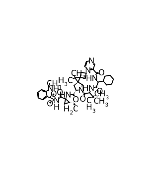 C=C[C@@H]1C[C@]1(NC(=O)[C@@H]1C[C@@]2(CN1C(=O)[C@@H](NC(=O)[C@@H](NC(=O)c1cnccn1)C1CCCCC1)C(C)(C)C)C(C)(C)C21CCC1)C(=O)NS(=O)(=O)c1ccccc1NC